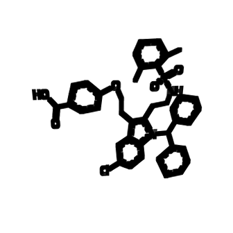 Cc1cccc(C)c1S(=O)(=O)NCCc1c(CCOc2ccc(C(=O)O)cc2)c2cc(Cl)ccc2n1C(c1ccccc1)c1ccccc1